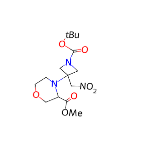 COC(=O)C1COCCN1C1(C[N+](=O)[O-])CN(C(=O)OC(C)(C)C)C1